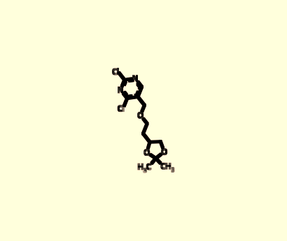 CC1(C)OCC(CCOCc2cnc(Cl)nc2Cl)O1